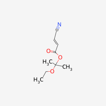 CCOC(C)(C)OC(=O)C=CC#N